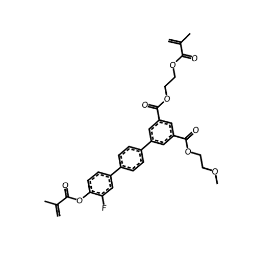 C=C(C)C(=O)OCCOC(=O)c1cc(C(=O)OCCOC)cc(-c2ccc(-c3ccc(OC(=O)C(=C)C)c(F)c3)cc2)c1